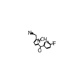 Cn1c(CC#N)ccc1C(=O)c1ccc(F)cc1